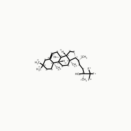 C[C@H](CC[C@](C)(O)C(F)(F)F)[C@H]1CC[C@H]2[C@@H]3CC=C4CC(C)(C)CC[C@]4(C)[C@H]3CC[C@]12C